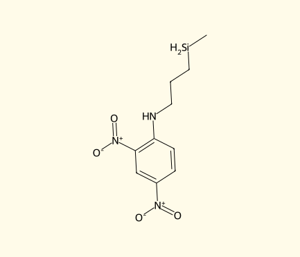 C[SiH2]CCCNc1ccc([N+](=O)[O-])cc1[N+](=O)[O-]